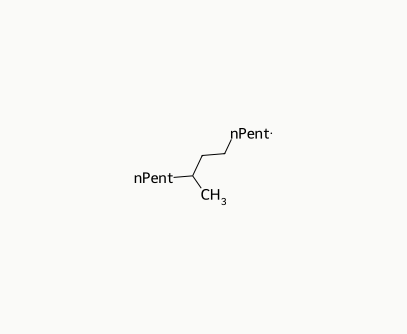 CCCC[CH]CCC(C)CCCCC